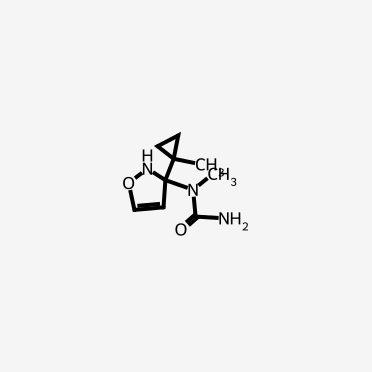 CN(C(N)=O)C1(C2(C)CC2)C=CON1